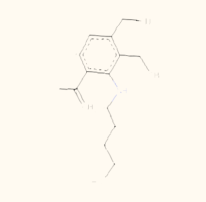 C=C(C)c1ccc(CC)c(CC)c1NCCCCC